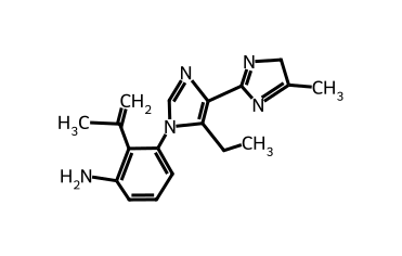 C=C(C)c1c(N)cccc1-n1cnc(C2=NCC(C)=N2)c1CC